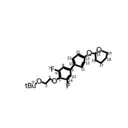 CC(C)(C)OCCOc1c(F)cc(-c2ccc(OC3CCCCO3)cc2)cc1F